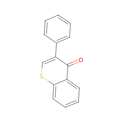 O=c1c(-c2ccccc2)csc2ccccc12